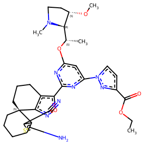 CCOC(=O)c1ccn(-c2cc(O[C@@H](C)[C@@H]3[C@@H](OC)CCN3C)nc(-c3onc4c3CCC[C@@]43CCCc4sc(N)c(C#N)c43)n2)n1